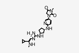 CN/C(=C\N=C(/N)N[C@H]1CC[C@H](Nc2ccc(N3CC(=O)N(C)C3=O)cn2)C1)C1CC1